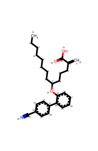 C=C(CCCC(CCCCCCCC)Oc1ccccc1-c1ccc(C#N)cc1)C(=O)O